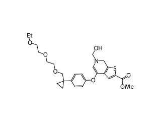 CCOCCOCCOCC1(c2ccc(OC3=CN(CO)Cc4sc(C(=O)OC)cc43)cc2)CC1